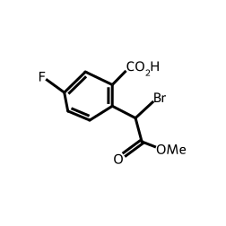 COC(=O)C(Br)c1ccc(F)cc1C(=O)O